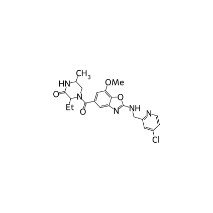 CCC1C(=O)NC(C)CN1C(=O)c1cc(OC)c2oc(NCc3cc(Cl)ccn3)nc2c1